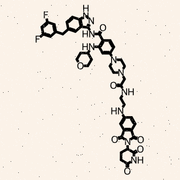 O=C(CN1CCN(c2ccc(C(=O)Nc3n[nH]c4ccc(Cc5cc(F)cc(F)c5)cc34)c(NC3CCOCC3)c2)CC1)NCCNc1ccc2c(c1)C(=O)N(C1CCC(=O)NC1=O)C2=O